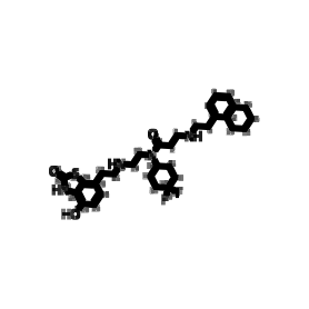 O=C(CCNCCc1cccc2c1CCCC2)N(CCNCCc1ccc(O)c2[nH]c(=O)sc12)C1CCC(F)(F)CC1